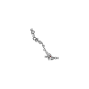 COc1ccc(COc2ccc3oc(N4CCN(CCOCCOCCOCC(=O)N[C@H](C(=O)N5C[C@H](O)C[C@H]5C)C(C)(C)C)CC4)nc3c2)nc1